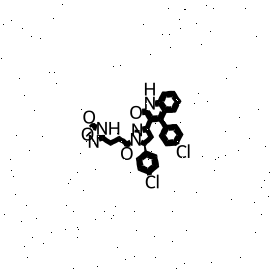 O=C(CCc1noc(=O)[nH]1)N1N=C(c2c(-c3ccc(Cl)cc3)c3ccccc3[nH]c2=O)C[C@H]1c1ccc(Cl)cc1